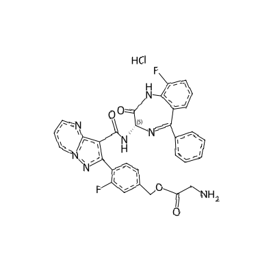 Cl.NCC(=O)OCc1ccc(-c2nn3cccnc3c2C(=O)N[C@H]2N=C(c3ccccc3)c3cccc(F)c3NC2=O)c(F)c1